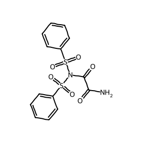 NC(=O)C(=O)N(S(=O)(=O)c1ccccc1)S(=O)(=O)c1ccccc1